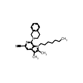 CCCCCCCn1c(C)c(C)c2cc(C#N)nc(N3CCc4ccccc4C3)c21